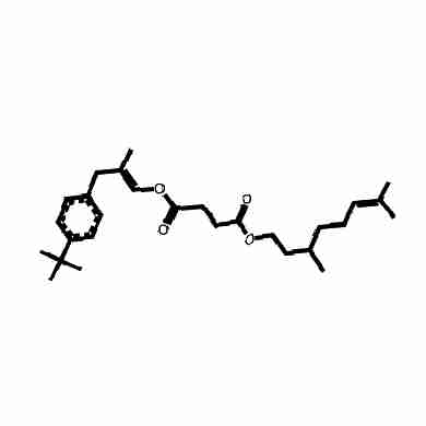 CC(C)=CCCC(C)CCOC(=O)CCC(=O)OC=C(C)Cc1ccc(C(C)(C)C)cc1